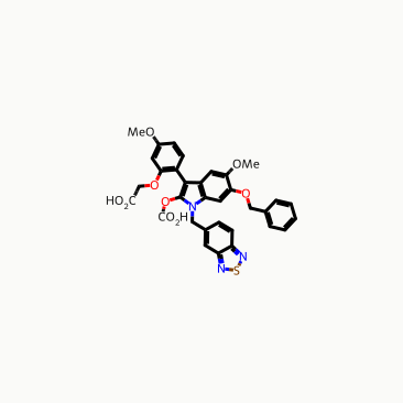 COc1ccc(-c2c(OC(=O)O)n(Cc3ccc4nsnc4c3)c3cc(OCc4ccccc4)c(OC)cc23)c(OCC(=O)O)c1